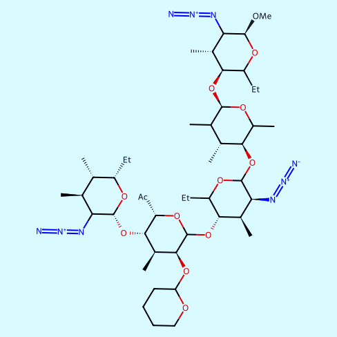 CCC1OC(O[C@@H]2C(C)O[C@H](O[C@@H]3C(CC)O[C@H](OC)C(N=[N+]=[N-])[C@H]3C)C(C)[C@H]2C)[C@@H](N=[N+]=[N-])[C@@H](C)[C@@H]1OC1O[C@@H](C(C)=O)[C@@H](O[C@H]2O[C@@H](CC)[C@@H](C)[C@H](C)C2N=[N+]=[N-])[C@H](C)[C@@H]1OC1CCCCO1